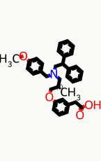 COc1ccc(CN(CC(c2ccccc2)c2ccccc2)C[C@@H](C)COc2cccc(CC(=O)O)c2)cc1